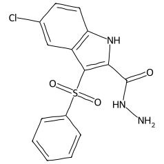 NNC(=O)c1[nH]c2ccc(Cl)cc2c1S(=O)(=O)c1ccccc1